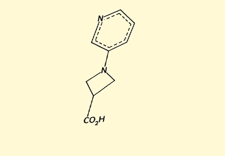 O=C(O)C1CN(c2cccnc2)C1